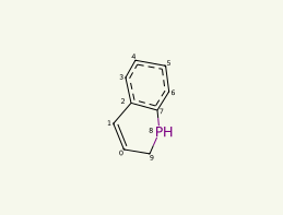 C1=Cc2ccccc2PC1